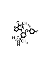 Cn1nc(-c2cc(C(C)(C)O)ccc2Oc2ccc(F)cc2F)c2ccsc2c1=O